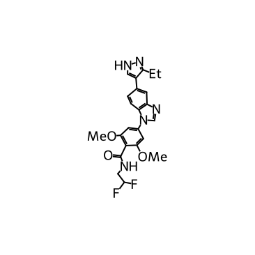 CCc1n[nH]cc1-c1ccc2c(c1)ncn2-c1cc(OC)c(C(=O)NCC(F)F)c(OC)c1